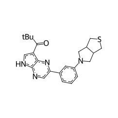 CC(C)(C)C(=O)c1c[nH]c2ncc(-c3cccc(N4CC5CSCC5C4)c3)nc12